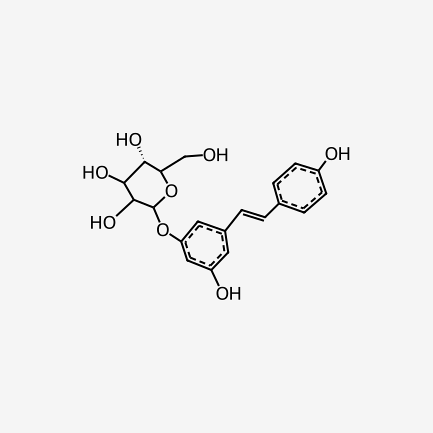 OCC1OC(Oc2cc(O)cc(/C=C/c3ccc(O)cc3)c2)C(O)C(O)[C@@H]1O